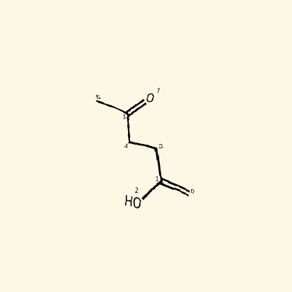 C=C(O)CCC(C)=O